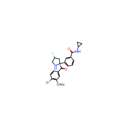 COc1cc(C(=O)[C@]2(c3cccc(C(=O)NC4CC4)c3)CC(F)CN2)ccc1Br